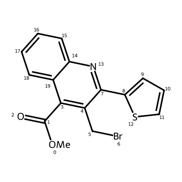 COC(=O)c1c(CBr)c(-c2cccs2)nc2ccccc12